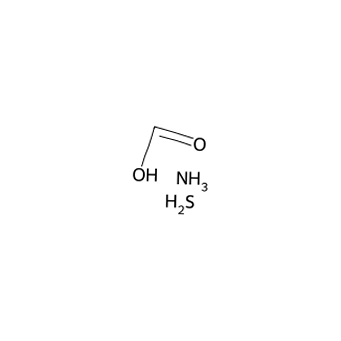 N.O=CO.S